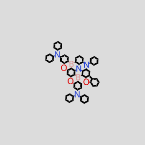 c1ccc(N(c2ccccc2)c2ccc3c(c2)Oc2cc4c5c6c2B3c2cccc3c2N6c2c(cc6c(oc7ccccc76)c2B5c2ccc(N(c5ccccc5)c5ccccc5)cc2O4)N3c2ccccc2)cc1